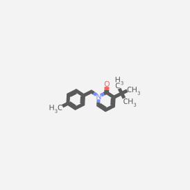 Cc1ccc(Cn2cccc(C(C)(C)C)c2=O)cc1